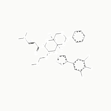 COCO[C@@H]1[C@@H](n2cc(-c3cc(F)c(F)c(F)c3)nn2)[C@H]2O[C@@H](c3ccccc3)OC[C@H]2O[C@H]1C(=O)/C=C/N(C)C